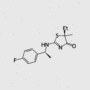 CC[C@]1(C)SC(N[C@@H](C)c2ccc(F)cc2)=NC1=O